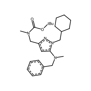 CN(Cc1cc(N(C)Cc2ccccc2)n(CC2CCCCC2)n1)C(=O)OC(C)(C)C